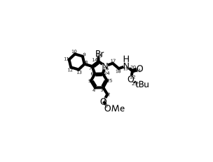 COOCc1ccc2c(C3CCCCC3)c(Br)n(CCNC(=O)OC(C)(C)C)c2c1